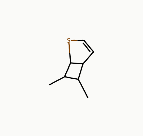 CC1C(C)C2SC=CC12